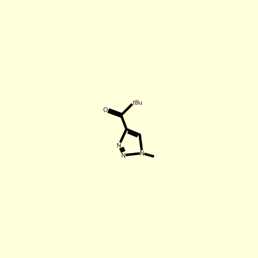 Cn1cc(C(=O)C(C)(C)C)nn1